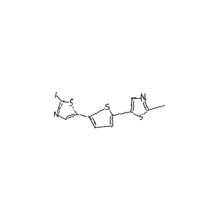 Cc1ncc(-c2ccc(-c3cnc(I)s3)s2)s1